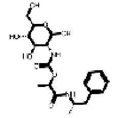 C[C@@H](Cc1ccccc1)NC(=O)[C@@H](C)OC(=O)N[C@H]1C(O)O[C@H](CO)[C@@H](O)[C@@H]1O